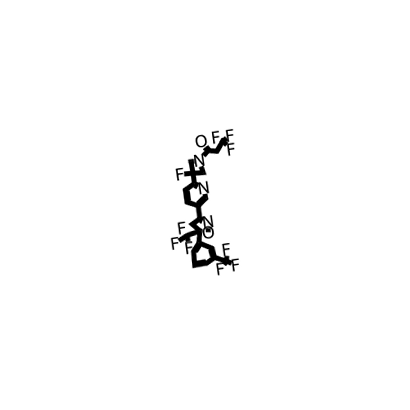 O=C(CC(F)(F)F)N1CC(F)(c2ccc(C3=NOC(c4cccc(C(F)(F)F)c4)(C(F)(F)F)C3)cn2)C1